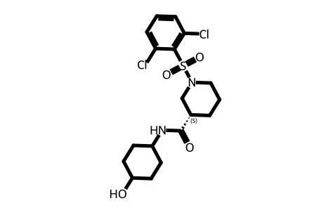 O=C(NC1CCC(O)CC1)[C@H]1CCCN(S(=O)(=O)c2c(Cl)cccc2Cl)C1